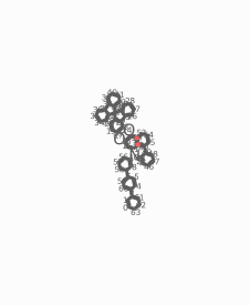 C1=CC(c2ccc(C3C=C(N(c4ccc5c(c4)Oc4ccc6c(c4O5)-c4ccccc4C64c5ccccc5-c5ccccc54)c4ccccc4-c4ccccc4)C=CC3)cc2)=CCC1